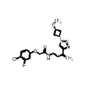 C=C(CCNC(=O)COc1ccc(Cl)c(F)c1)c1cn([C@H]2C[C@H](OC(F)(F)F)C2)nn1